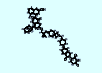 CCc1cccc2cc(O)cc(-c3ncc4c(N5CC6CCC(C5)N6)nc(OCC5(CN6CCC7(CC6)CN(CC6CCN(c8ccc9c(c8)CN([C@H]8CCC(=O)NC8=O)C9=O)CC6)C7)CC5)nc4c3F)c12